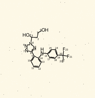 OCCC(O)n1nnc(-c2ccccc2Nc2ccc(C(F)(F)F)cc2)n1